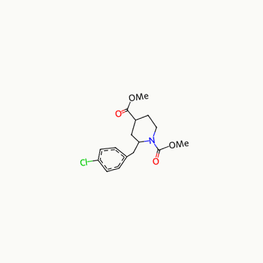 COC(=O)C1CCN(C(=O)OC)C(Cc2ccc(Cl)cc2)C1